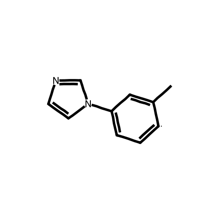 Cc1[c]ccc(-n2ccnc2)c1